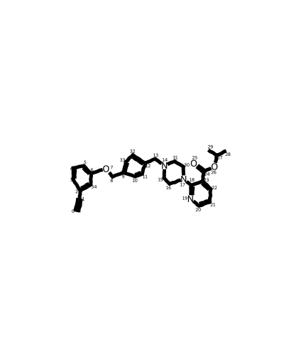 C#Cc1cccc(OCc2ccc(CN3CCN(c4ncccc4C(=O)OC(C)C)CC3)cc2)c1